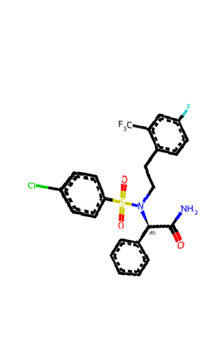 NC(=O)[C@@H](c1ccccc1)N(CCc1ccc(F)cc1C(F)(F)F)S(=O)(=O)c1ccc(Cl)cc1